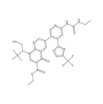 CCNC(=O)Nc1cc(-c2nc(C(F)(F)F)cs2)c(-c2cnc3c(c2)c(=O)c(C(=O)OCC)cn3C(CO)C(C)(C)C)cn1